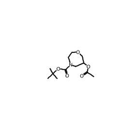 CC(=O)OC1COCCN(C(=O)OC(C)(C)C)C1